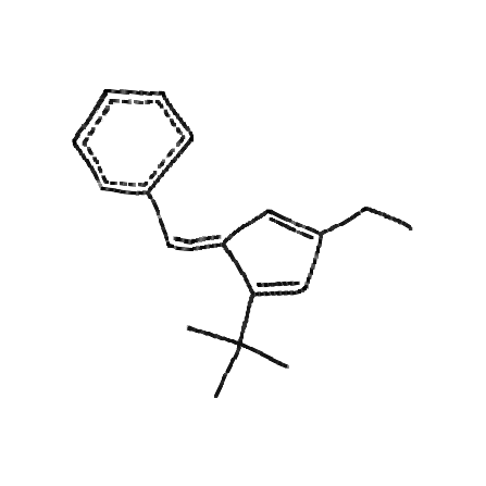 CCC1=CC(=Cc2ccccc2)C(C(C)(C)C)=C1